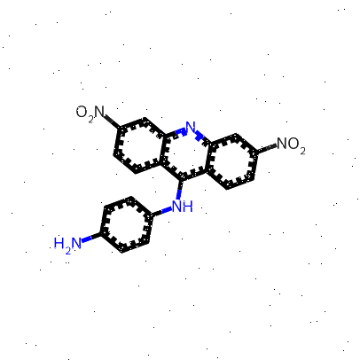 Nc1ccc(Nc2c3ccc([N+](=O)[O-])cc3nc3cc([N+](=O)[O-])ccc23)cc1